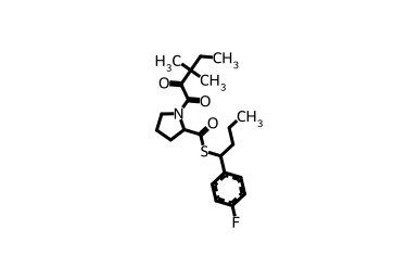 CCCC(SC(=O)C1CCCN1C(=O)C(=O)C(C)(C)CC)c1ccc(F)cc1